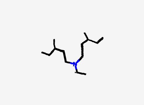 C[CH]N(CCC(C)CC)CCC(C)CC